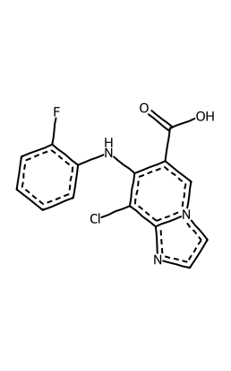 O=C(O)c1cn2ccnc2c(Cl)c1Nc1ccccc1F